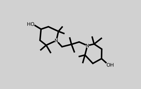 CC(C)(CN1C(C)(C)CC(O)CC1(C)C)CN1C(C)(C)CC(O)CC1(C)C